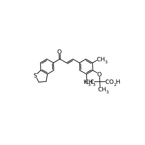 Cc1cc(C=CC(=O)c2ccc3c(c2)CCS3)cc(C)c1OC(C)(C)C(=O)O